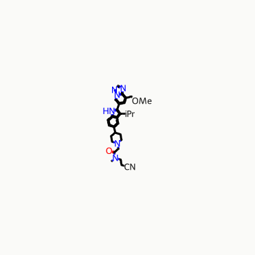 COCc1cc(-c2[nH]c3ccc(C4CCN(CC(=O)N(C)CCC#N)CC4)cc3c2C(C)C)cn2ncnc12